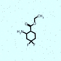 CCOC(=O)C1CCC(F)(F)CC1N